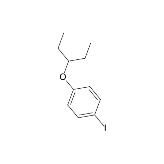 CCC(CC)Oc1ccc(I)cc1